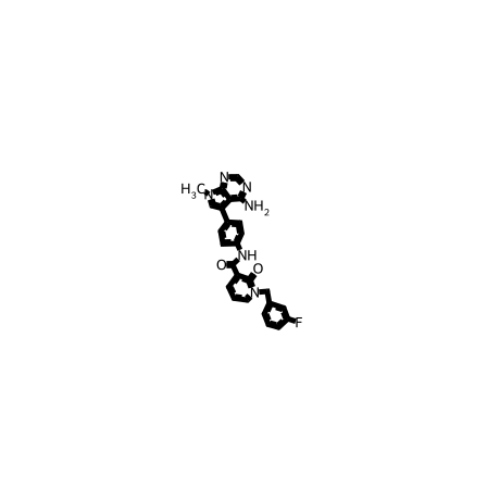 Cn1cc(-c2ccc(NC(=O)c3cccn(Cc4cccc(F)c4)c3=O)cc2)c2c(N)ncnc21